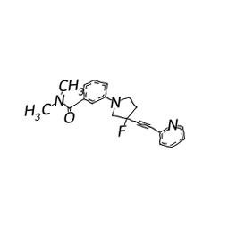 CN(C)C(=O)c1cccc(N2CCC(F)(C#Cc3ccccn3)C2)c1